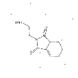 CCCCCCCCCCN1C(=O)C2=CCCCC2C1=O